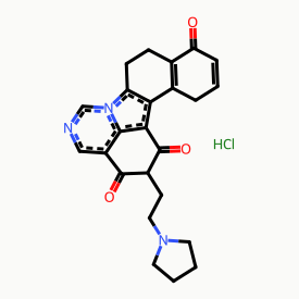 Cl.O=C1C=CCC2=C1CCc1c2c2c3c(cncn13)C(=O)C(CCN1CCCC1)C2=O